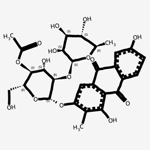 CC(=O)O[C@H]1[C@H](O)[C@@H](O[C@@H]2O[C@H](C)[C@@H](O)[C@H](O)[C@@H]2O)[C@H](Oc2cc3c(c(O)c2C)C(=O)c2ccc(O)cc2C3=O)O[C@@H]1CO